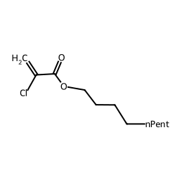 [CH2]CCCCCCCCOC(=O)C(=C)Cl